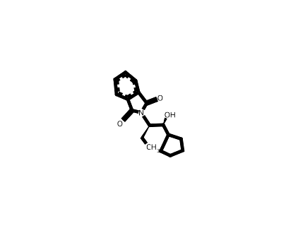 CC[C@H]([C@@H](O)C1CCCC1)N1C(=O)c2ccccc2C1=O